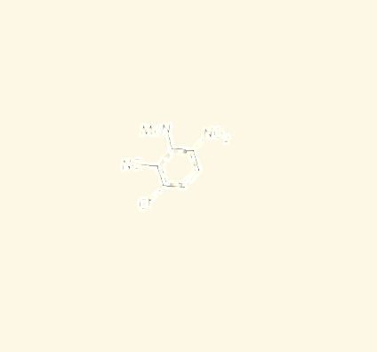 CNc1c([N+](=O)[O-])ccc(Cl)c1C#N